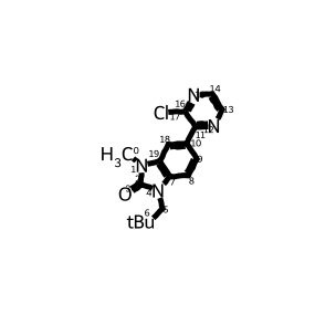 Cn1c(=O)n(CC(C)(C)C)c2ccc(-c3nccnc3Cl)cc21